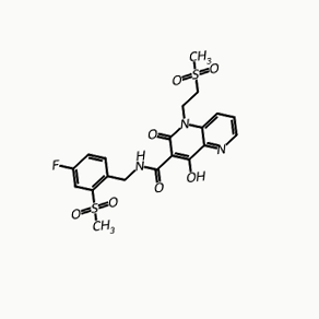 CS(=O)(=O)CCn1c(=O)c(C(=O)NCc2ccc(F)cc2S(C)(=O)=O)c(O)c2ncccc21